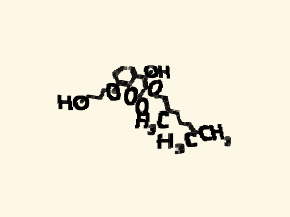 CC(C)=CCC/C(C)=C/COc1c(O)c2cccc(OCCCO)c2oc1=O